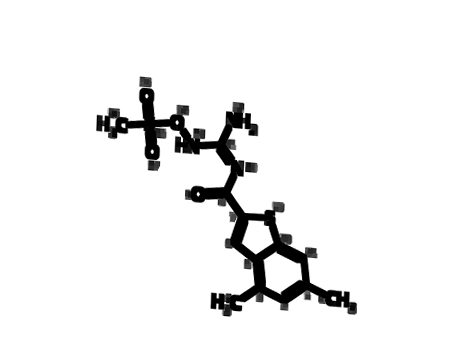 Cc1cc(C)c2cc(C(=O)N=C(N)NOS(C)(=O)=O)sc2c1